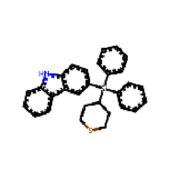 c1ccc([Si](c2ccccc2)(c2ccc3[nH]c4ccccc4c3c2)C2CCSCC2)cc1